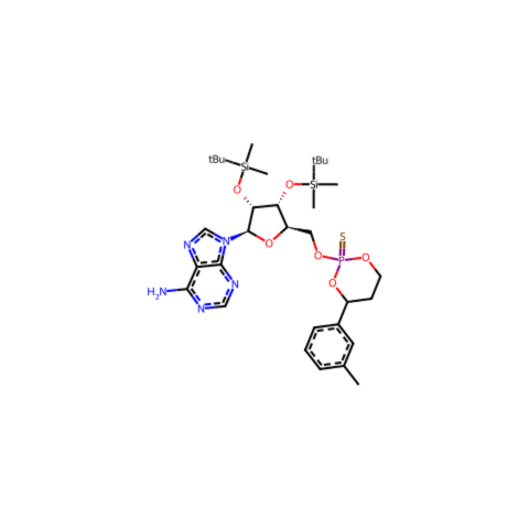 Cc1cccc(C2CCOP(=S)(OC[C@H]3O[C@@H](n4cnc5c(N)ncnc54)[C@H](O[Si](C)(C)C(C)(C)C)[C@@H]3O[Si](C)(C)C(C)(C)C)O2)c1